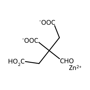 O=CC(CC(=O)[O-])(CC(=O)O)C(=O)[O-].[Zn+2]